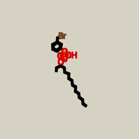 CCCCCCCCCCCCCC(CC)OOP(=O)(O)Oc1cccc(CBr)c1